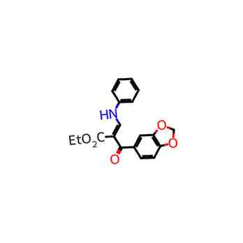 CCOC(=O)C(=CNc1ccccc1)C(=O)c1ccc2c(c1)OCO2